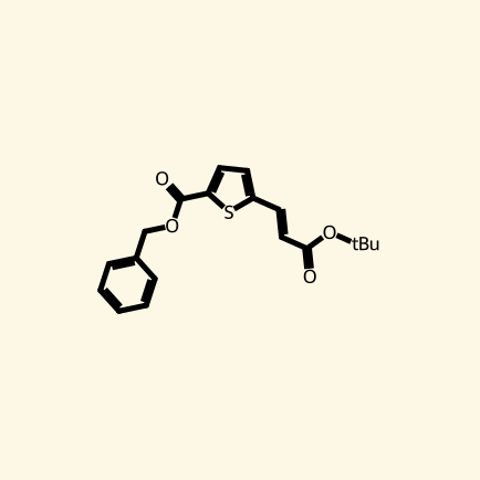 CC(C)(C)OC(=O)C=Cc1ccc(C(=O)OCc2ccccc2)s1